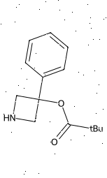 CC(C)(C)C(=O)OC1(c2ccccc2)CNC1